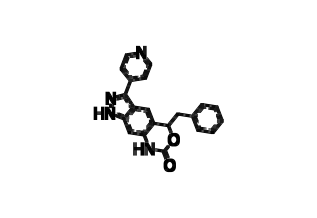 O=C1Nc2cc3[nH]nc(-c4ccncc4)c3cc2C(Cc2ccccc2)O1